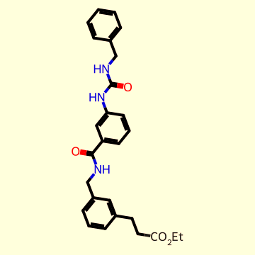 CCOC(=O)CCc1cccc(CNC(=O)c2cccc(NC(=O)NCc3ccccc3)c2)c1